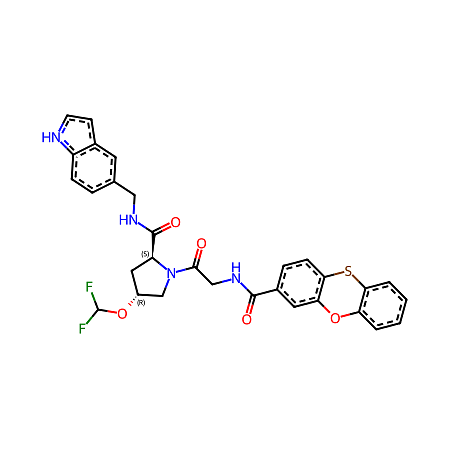 O=C(NCC(=O)N1C[C@H](OC(F)F)C[C@H]1C(=O)NCc1ccc2[nH]ccc2c1)c1ccc2c(c1)Oc1ccccc1S2